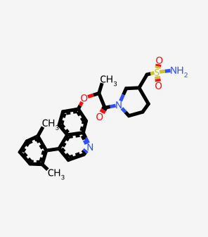 Cc1cccc(C)c1-c1ccnc2cc(OC(C)C(=O)N3CCCC(CS(N)(=O)=O)C3)ccc12